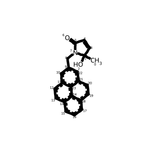 CC1(O)C=CC(=O)N1Cc1cc2ccc3cccc4ccc(c1)c2c34